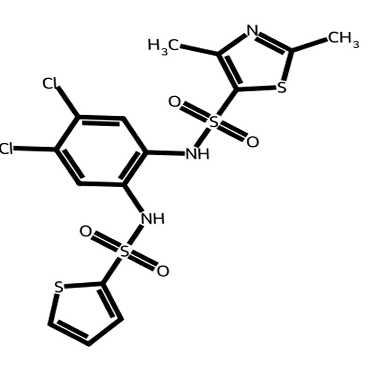 Cc1nc(C)c(S(=O)(=O)Nc2cc(Cl)c(Cl)cc2NS(=O)(=O)c2cccs2)s1